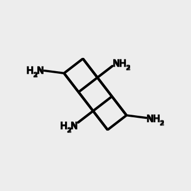 NC12C3C4(N)C1C1(N)C2C3(N)C41